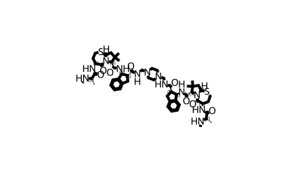 CN[C@@H](C)C(=O)N[C@H]1CCS[C@H]2CC(C)(C)[C@@H](C(=O)N[C@H]3c4ccccc4C[C@H]3C(=O)NCN3CCN(CNC(=O)[C@@H]4Cc5ccccc5[C@@H]4NC(=O)[C@H]4N5C(=O)[C@@H](NC(=O)[C@H](C)NC)CCS[C@H]5CC4(C)C)CC3)N2C1=O